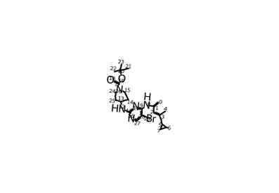 C=C(/C=C(\C)C1CC1)Nc1nc(NC2CCN(C(=O)OC(C)(C)C)CC2)ncc1Br